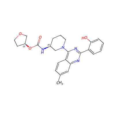 Cc1ccc2c(N3CCC[C@H](NC(=O)O[C@H]4CCOC4)C3)nc(-c3ccccc3O)nc2c1